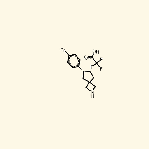 CC(C)c1ccc([C@@H]2CCC3(CNC3)C2)cc1.O=C(O)C(F)(F)F